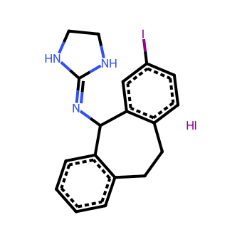 I.Ic1ccc2c(c1)C(N=C1NCCN1)c1ccccc1CC2